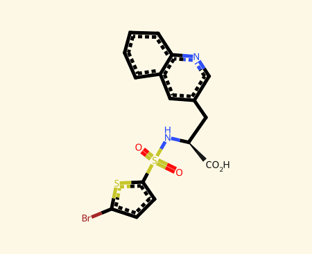 O=C(O)[C@H](Cc1cnc2ccccc2c1)NS(=O)(=O)c1ccc(Br)s1